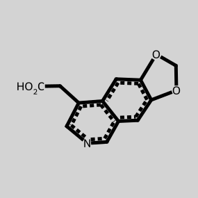 O=C(O)Cc1cncc2cc3c(cc12)OCO3